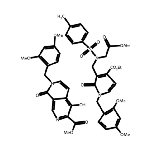 CCOC(=O)c1ccn(Cc2ccc(OC)cc2OC)c(=O)c1CN(CC(=O)OC)S(=O)(=O)c1ccc(C)cc1.COC(=O)c1ncc2c(=O)n(Cc3ccc(OC)cc3OC)ccc2c1O